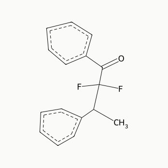 CC(c1ccccc1)C(F)(F)C(=O)c1ccccc1